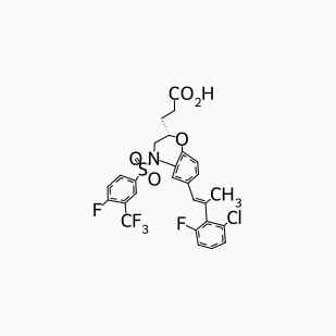 C/C(=C\c1ccc2c(c1)N(S(=O)(=O)c1ccc(F)c(C(F)(F)F)c1)C[C@H](CCC(=O)O)O2)c1c(F)cccc1Cl